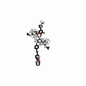 CC(C)([C@H](NC(=O)OC1CC1)C(=O)N[C@@H](Cc1ccc(C#Cc2ccc(N3CC4CCC(C3)N4C3COC3)nc2)cc1)[C@@H](O)CN(Cc1c(F)cc(-c2ccn(C(F)F)n2)cc1F)NC(=O)[C@@H](NC(=O)OC1CC1)C(C)(C)C(F)(F)F)C(F)(F)F